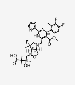 COC(=O)C1=C(CN2CC(F)(F)[C@H]3[C@@H]2CON3C[C@@](C)(O)C(C)(C)C(=O)O)NC(c2nccs2)=N[C@H]1c1ccc(F)c(F)c1C